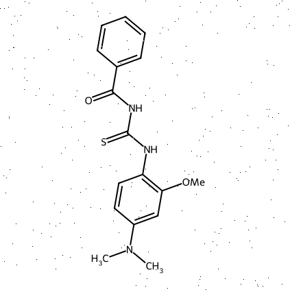 COc1cc(N(C)C)ccc1NC(=S)NC(=O)c1ccccc1